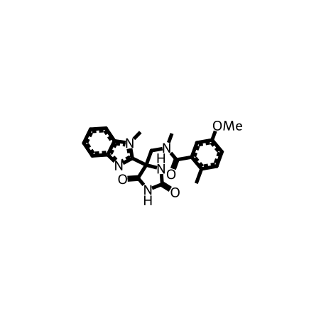 COc1ccc(C)c(C(=O)N(C)CC2(c3nc4ccccc4n3C)NC(=O)NC2=O)c1